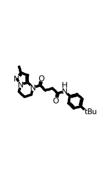 Cc1cc2n(n1)CCCN2C(=O)CCC(=O)Nc1ccc(C(C)(C)C)cc1